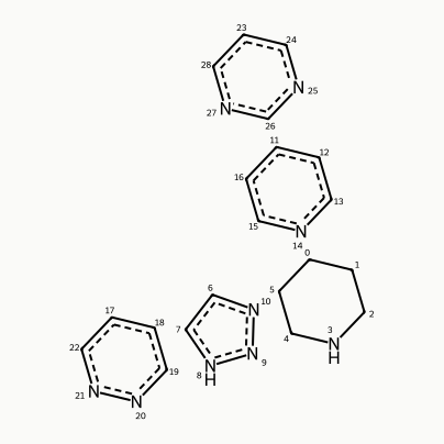 C1CCNCC1.c1c[nH]nn1.c1ccncc1.c1ccnnc1.c1cncnc1